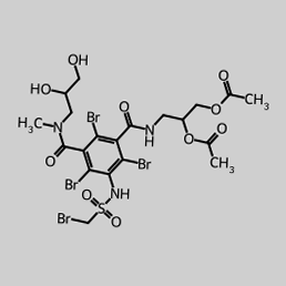 CC(=O)OCC(CNC(=O)c1c(Br)c(NS(=O)(=O)CBr)c(Br)c(C(=O)N(C)CC(O)CO)c1Br)OC(C)=O